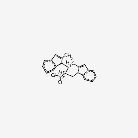 CC1=Cc2ccccc2C1C[SiH](CC1C(C)=Cc2ccccc21)[Zr]([Cl])[Cl]